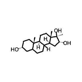 C[C@]12CC[C@@H](O)CC1CC[C@@H]1[C@@H]2CC[C@@]2(C)[C@H]1C[C@@H](O)[C@]2(C)O